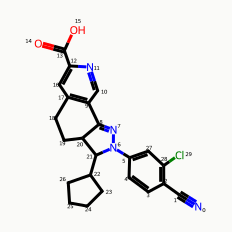 N#Cc1ccc(N2N=C3c4cnc(C(=O)O)cc4CCC3C2C2CCCC2)cc1Cl